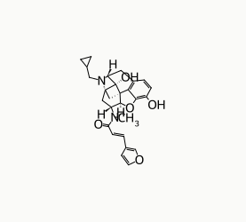 CN(C(=O)/C=C/c1ccoc1)[C@@H]1C[C@@]23C[C@]45c6c(ccc(O)c6O[C@@H]14)C[C@@H](N2CC1CC1)[C@]35O